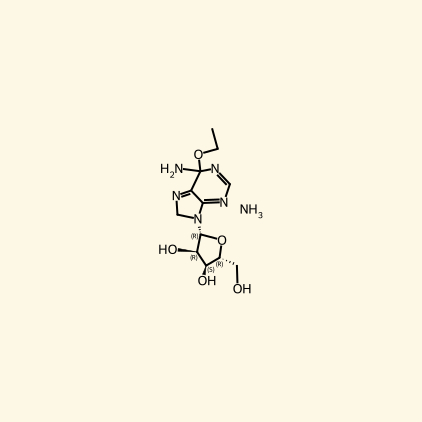 CCOC1(N)N=CN=C2C1=NCN2[C@@H]1O[C@H](CO)[C@@H](O)[C@H]1O.N